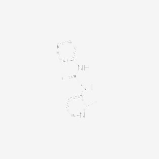 O=C(Nc1ccccc1)Nc1cccnc1Cl